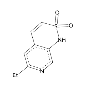 CCc1cc2c(cn1)NS(=O)(=O)C=C2